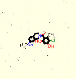 CNc1ccc2c(c1)CN(C(=O)c1c(O)cc(O)c(Cl)c1C)CC2